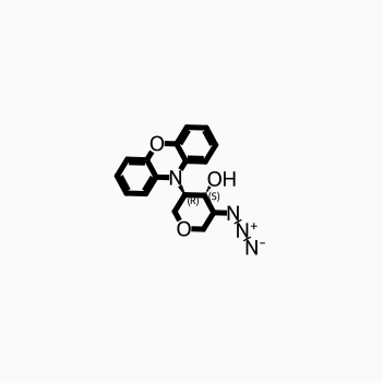 [N-]=[N+]=NC1COC[C@@H](N2c3ccccc3Oc3ccccc32)[C@@H]1O